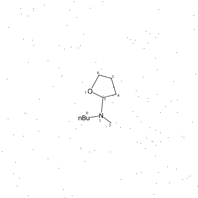 CCCCN(C)[C]1CCCO1